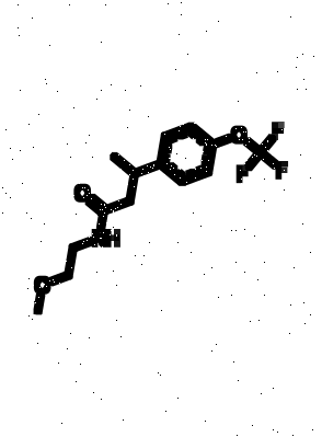 COCCNC(=O)CC(C)c1ccc(OC(F)(F)F)cc1